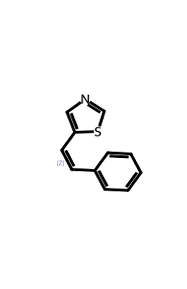 C(=C/c1cncs1)/c1ccccc1